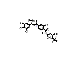 C[C@H](CN(C)CC(F)(F)F)NC(=O)c1ccc(/C(F)=C/C(c2cc(Cl)c(Cl)c(Cl)c2)C(F)(F)F)cc1Br